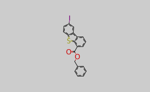 O=C(OCc1ccccc1)c1cccc2c1sc1ccc(I)cc12